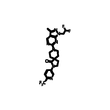 Cc1nn(CC(F)F)c2nc(N3CCC4(CC3)CCN(c3ccc(C(F)(F)F)nc3)C4=O)ncc12